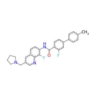 Cc1ccc(-c2ccc(C(=O)Nc3ccc4cc(CN5CCCC5)cnc4c3F)c(F)c2)cc1